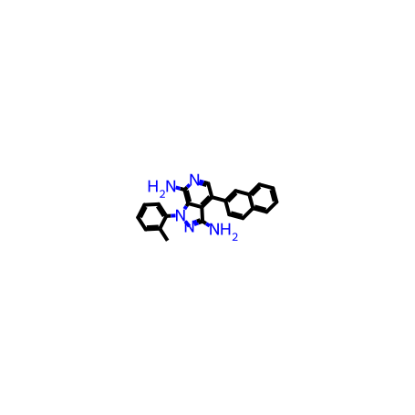 Cc1ccccc1-n1nc(N)c2c(-c3ccc4ccccc4c3)cnc(N)c21